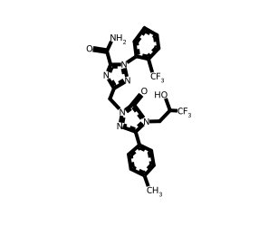 Cc1ccc(-c2nn(Cc3nc(C(N)=O)n(-c4ccccc4C(F)(F)F)n3)c(=O)n2CC(O)C(F)(F)F)cc1